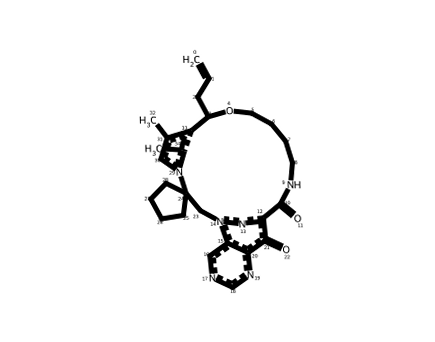 C=CCC1OCCCCNC(=O)c2nn(c3cncnc3c2=O)CC2(CCCC2)n2cc(C)c1c2C